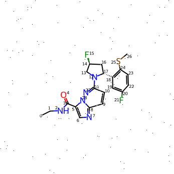 CCNC(=O)c1cnc2ccc(N3C[C@@H](F)C[C@@H]3c3cc(F)ccc3SC)nn12